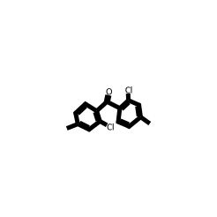 Cc1ccc(C(=O)c2ccc(C)cc2Cl)c(Cl)c1